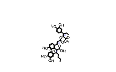 CCCC/C(=C(\C(=O)O)c1c(/C=C/C(=O)O/C(C(=O)O)=C(/CC)c2ccc(O)c(O)c2)ccc(O)c1O)c1ccc(O)c(O)c1